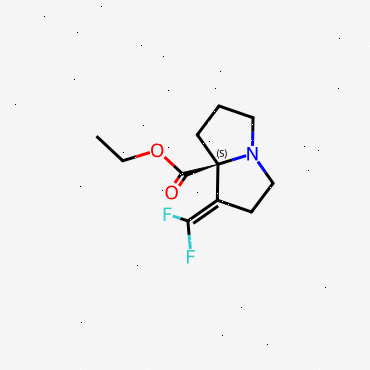 CCOC(=O)[C@@]12CCCN1CCC2=C(F)F